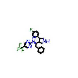 Fc1ccc(C2CNCC2C(Cc2ccccc2)Nc2ncc(C(F)(F)F)cn2)cc1